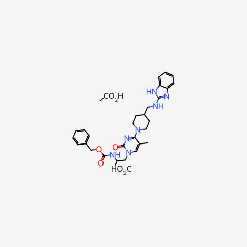 CC(=O)O.Cc1cn(C[C@H](NC(=O)OCc2ccccc2)C(=O)O)c(=O)nc1N1CCC(CNc2nc3ccccc3[nH]2)CC1